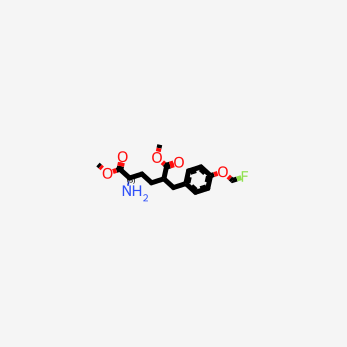 COC(=O)C(CC[C@H](N)C(=O)OC)Cc1ccc(OCF)cc1